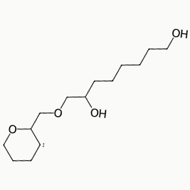 OCCCCCCC(O)COCC1[C]CCCO1